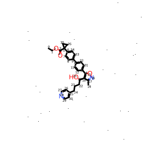 CCOC(=O)C1(c2ccc(-c3ccc(-c4onc(C)c4C(O)CCCc4ccncc4)cc3)cc2)CC1